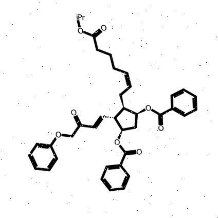 CC(C)OC(=O)CCC/C=C\C[C@@H]1[C@@H](/C=C/C(=O)COc2ccccc2)[C@H](OC(=O)c2ccccc2)C[C@@H]1OC(=O)c1ccccc1